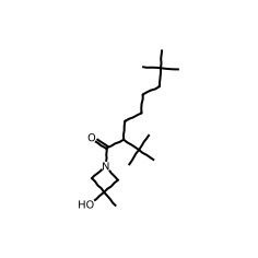 CC(C)(C)CCCCC(C(=O)N1CC(C)(O)C1)C(C)(C)C